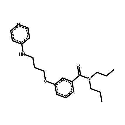 CCCN(CCC)C(=O)c1cccc(OCCCNc2ccncc2)c1